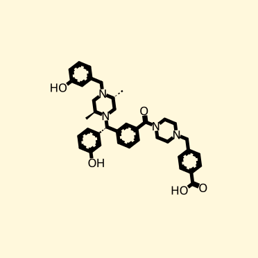 C[C@@H]1CN([C@@H](c2cccc(O)c2)c2cccc(C(=O)N3CCN(Cc4ccc(C(=O)O)cc4)CC3)c2)[C@@H](C)CN1Cc1cccc(O)c1